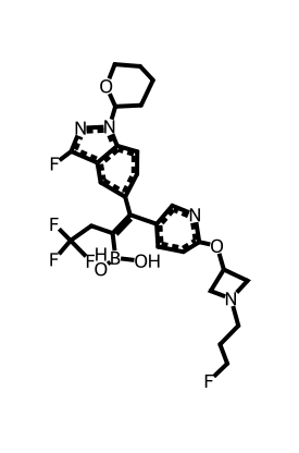 OB(O)C(CC(F)(F)F)=C(c1ccc(OC2CN(CCCF)C2)nc1)c1ccc2c(c1)c(F)nn2C1CCCCO1